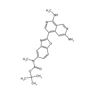 CNc1ncc(-c2nc3cc(N(C)C(=O)OC(C)(C)C)ccc3o2)c2cc(N)ncc12